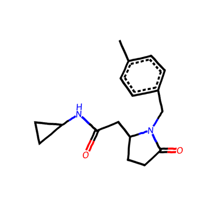 Cc1ccc(CN2C(=O)CCC2CC(=O)NC2CC2)cc1